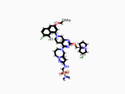 CCc1c(F)ccc2cc(OCOC)cc(N3CCc4c(nc(OC[C@@]56CCCN5C[C@H](F)C6)nc4N4CCCn5nc(NCS(=O)(=O)N(C)C)cc5C4)C3)c12